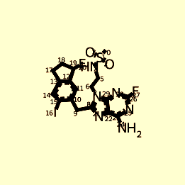 CS(=O)(=O)NCCn1c(Cc2cc3c(cc2I)CCC3F)nc2c(N)nc(F)nc21